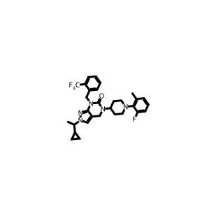 Cc1cccc(F)c1N1CCC(N2Cc3cn(C(C)C4CC4)nc3N(Cc3ccccc3C(F)(F)F)C2=O)CC1